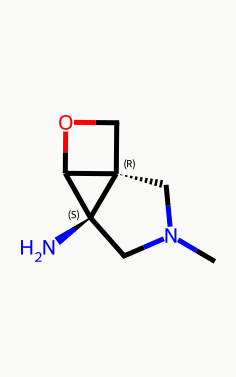 CN1C[C@@]23COC2[C@@]3(N)C1